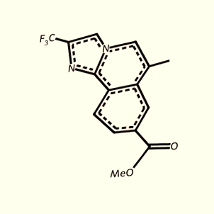 COC(=O)c1ccc2c(c1)c(C)cn1cc(C(F)(F)F)nc21